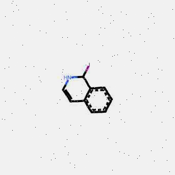 IC1NC=Cc2ccccc21